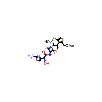 COCc1scc(Br)c1C1=C(C(=O)O)N2C(=O)[C@@H](NC(=O)C(=NO)c3csc(N)n3)[C@@H]2SC1